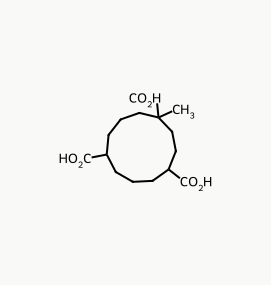 CC1(C(=O)O)CCCC(C(=O)O)CCCC(C(=O)O)CC1